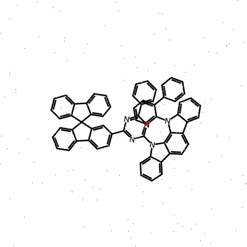 c1ccc(-c2nc(-c3ccc4c(c3)C3(c5ccccc5-c5ccccc53)c3ccccc3-4)nc(-n3c4ccccc4c4ccc5c6ccccc6n(-c6ccccc6-c6ccccc6)c5c43)n2)cc1